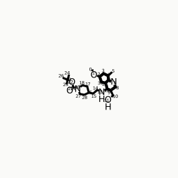 COc1cc(C)c2ncc(CO)c(NCCC3CCN(C(=O)OC(C)(C)C)CC3)c2c1